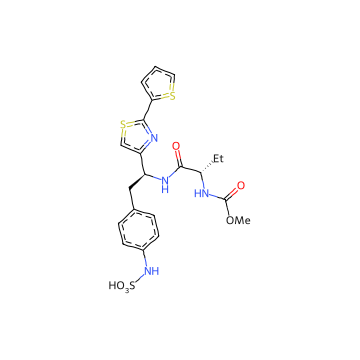 CC[C@H](NC(=O)OC)C(=O)N[C@@H](Cc1ccc(NS(=O)(=O)O)cc1)c1csc(-c2cccs2)n1